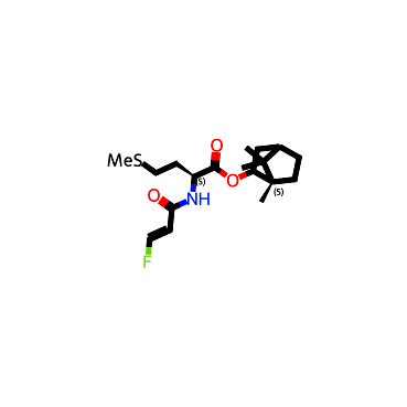 CSCC[C@H](NC(=O)C=CF)C(=O)OC1CC2CC[C@@]1(C)C2(C)C